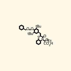 CCOC(C(=O)O)N1C(=O)C(=Cc2cc(C(C)(C)C)c(OCOCc3ccccc3)c(C(C)(C)C)c2)Sc2ccccc21